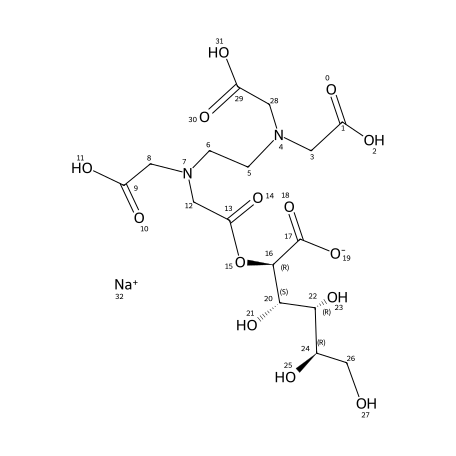 O=C(O)CN(CCN(CC(=O)O)CC(=O)O[C@@H](C(=O)[O-])[C@@H](O)[C@H](O)[C@H](O)CO)CC(=O)O.[Na+]